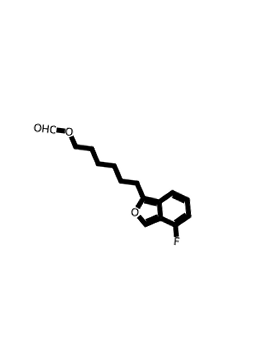 O=COCCCCCCc1occ2c(F)cccc12